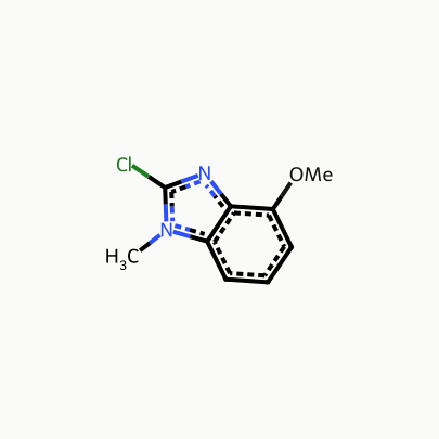 COc1cccc2c1nc(Cl)n2C